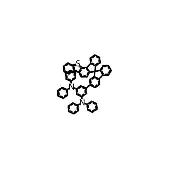 c1ccc(N(c2ccccc2)c2cc(-c3ccc4c(c3)C3(c5ccccc5-4)c4ccccc4-c4c3ccc3c4sc4ccccc43)cc(N(c3ccccc3)c3ccccc3)c2)cc1